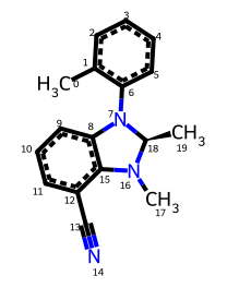 Cc1ccccc1N1c2cccc(C#N)c2N(C)[C@@H]1C